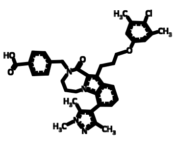 Cc1cc(OCCCc2c3n(c4c(-c5c(C)nn(C)c5C)cccc24)CCCN(Cc2ccc(C(=O)O)cc2)C3=O)cc(C)c1Cl